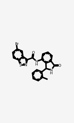 Cc1ccccc1C1NC(=O)c2cccc(NC(=O)c3nsc4ccc(Br)cc34)c21